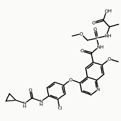 COCP(=O)(NC(=O)c1cc2c(Oc3ccc(NC(=O)NC4CC4)c(Cl)c3)ccnc2cc1OC)NC(C)C(=O)O